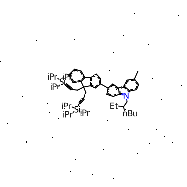 CCCCC(CC)Cn1c2ccc(C)cc2c2cc(-c3ccc4c(c3)C(CC#C[Si](C(C)C)(C(C)C)C(C)C)(CC#C[Si](C(C)C)(C(C)C)C(C)C)c3cc(C)ccc3-4)ccc21